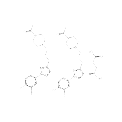 CC(=O)N1CCN(COCc2ccn(-c3ccc(F)c(F)c3)n2)CC1.CC(=O)N1CCN(COCc2ccn(-c3ccc(F)c(F)c3)n2)CC1.O=C(O)CCC(=O)O